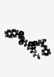 CCCCCCCC(CCC(=O)OCC(=O)c1ccc2ccccc2c1)OC(=O)OCCC(C)CCc1ccccc1